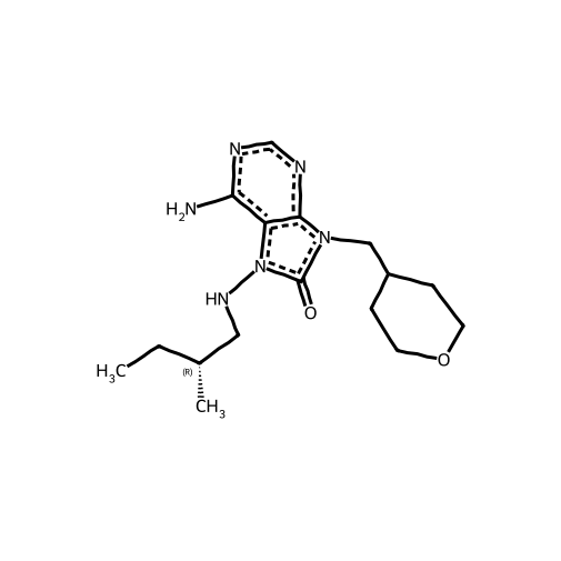 CC[C@@H](C)CNn1c(=O)n(CC2CCOCC2)c2ncnc(N)c21